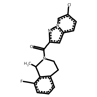 CC1c2c(F)cccc2CCN1C(=O)c1cc2ccc(Cl)cn2n1